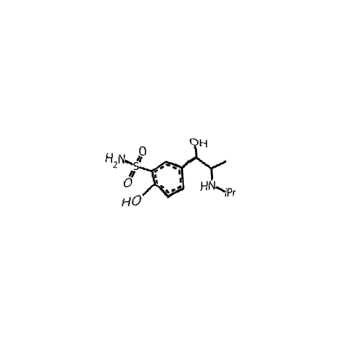 CC(C)NC(C)C(O)c1ccc(O)c(S(N)(=O)=O)c1